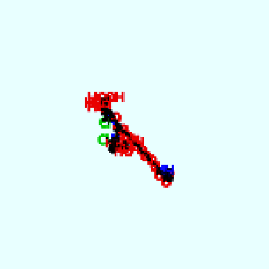 O=C(CCN1C(=O)C=CC1=O)NCCOCCOCCOCCOCCOCCOCCOCCOc1cc(/C=C/C(=O)N2C[C@@H](CCl)c3c2ccc2c(O[C@@H]4O[C@H](CO)[C@H](O)[C@H](O)[C@H]4O)cccc32)ccc1/C=C/C(=O)N1C[C@@H](CCl)c2c1cc(O[C@@H]1O[C@H](CO)[C@H](O)[C@H](O)[C@H]1O)c1ccccc21